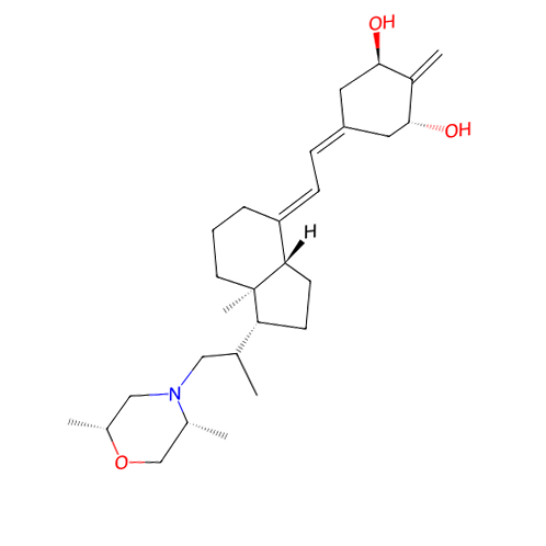 C=C1[C@H](O)CC(=CC=C2CCC[C@]3(C)[C@@H](C(C)CN4C[C@@H](C)OC[C@H]4C)CC[C@@H]23)C[C@H]1O